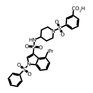 CC(C)c1cccc2c1c(S(=O)(=O)NC1CCN(S(=O)(=O)c3cccc(C(=O)O)c3)CC1)cn2S(=O)(=O)c1ccccc1